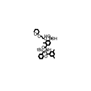 Cc1cc(C)cc(C(=O)N(NC(=O)c2ccc(B(O)O)c(OCCOC3CCCCO3)c2C)C(c2ccccc2)C(C)(C)C)c1